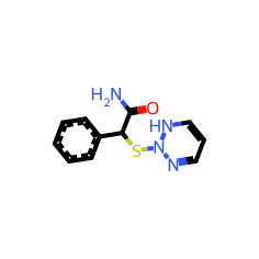 NC(=O)C(SN1N=CC=CN1)c1ccccc1